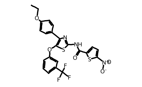 CCOc1ccc(-c2nc(NC(=O)c3ccc([N+](=O)[O-])s3)sc2Oc2cccc(C(F)(F)F)c2)cc1